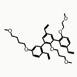 C=Cc1ccc(OCCOC)c(-c2cc(C=C)cc(-c3cc(OCCCCOC)ccc3C=C)c2OCCCOC)c1